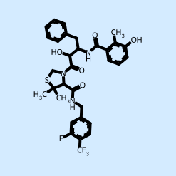 Cc1c(O)cccc1C(=O)NC(Cc1ccccc1)C(O)C(=O)N1CSC(C)(C)C1C(=O)NCc1ccc(C(F)(F)F)c(F)c1